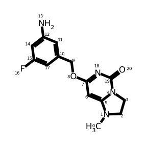 CN1CCn2c1cc(OCc1cc(N)cc(F)c1)nc2=O